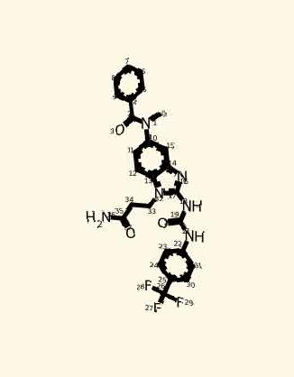 CN(C(=O)c1ccccc1)c1ccc2c(c1)nc(NC(=O)Nc1ccc(C(F)(F)F)cc1)n2CCC(N)=O